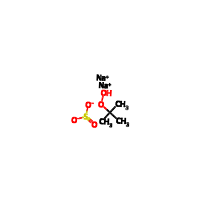 CC(C)(C)OO.O=S([O-])[O-].[Na+].[Na+]